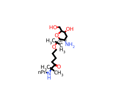 CCCNC(C)(C)C(=O)CCCCOC(C)(C)[C@@H]1OC(CO)C(O)C[C@@H]1N